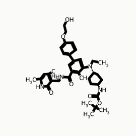 CCN(c1cc(-c2ccc(OCCO)cc2)cc(C(=O)NCc2c(C)cc(C)[nH]c2=O)c1C)[C@H]1CC[C@H](NC(=O)OC(C)(C)C)CC1